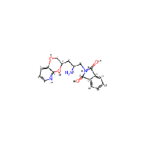 NC(CC1COc2cccnc2O1)CN1C(=O)c2ccccc2C1=O